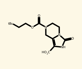 CC(C)(C)CCOC(=O)N1CCn2c(c(C(=O)O)[nH]c2=O)C1